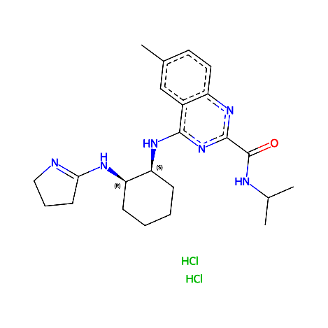 Cc1ccc2nc(C(=O)NC(C)C)nc(N[C@H]3CCCC[C@H]3NC3=NCCC3)c2c1.Cl.Cl